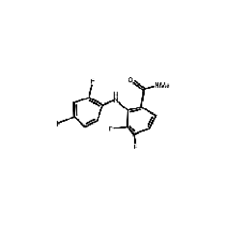 CNC(=O)c1ccc(F)c(F)c1Nc1ccc(I)cc1F